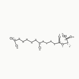 C[C@H](OC(=O)CCCCC(Cl)CCCCCC(Cl)Cl)C(=O)O